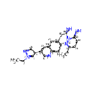 CCn1cc(-c2cnc3ccc(CC(=N)n4nc(C)ccc4=N)cc3c2)cn1